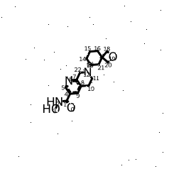 O=C(NO)c1cnc2c(c1)CCN([C@@H]1CCCC3(COC3)C1)C2